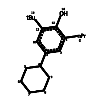 CCCc1cc(C2CCCCC2)cc(C(C)(C)C)c1O